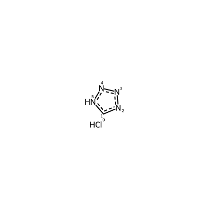 Cl.c1nnn[nH]1